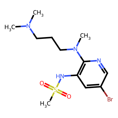 CN(C)CCCN(C)c1ncc(Br)cc1NS(C)(=O)=O